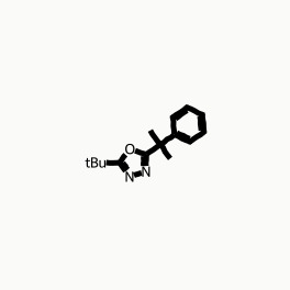 CC(C)(C)c1nnc(C(C)(C)c2ccccc2)o1